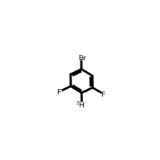 [2H]c1c(F)cc(Br)cc1F